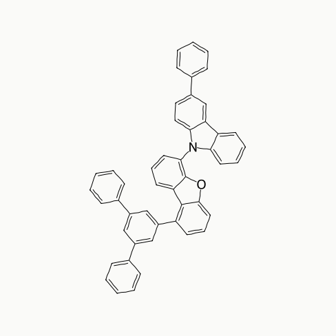 c1ccc(-c2cc(-c3ccccc3)cc(-c3cccc4oc5c(-n6c7ccccc7c7cc(-c8ccccc8)ccc76)cccc5c34)c2)cc1